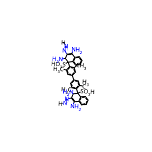 [H]/N=N/C1=C(N)c2ccccc2C(c2c(C)cc(-c3cc(C)c(C4(S(=O)(=O)O)c5ccccc5C(N)=C(/N=N/[H])C4N)c(C)c3)cc2C)(S(=O)(=O)O)C1N